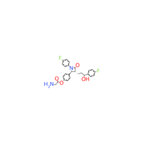 NCC(=O)Oc1ccc([C@@H]2[C@@H](CC[C@H](O)c3ccc(F)cc3)C(=O)N2c2ccc(F)cc2)cc1